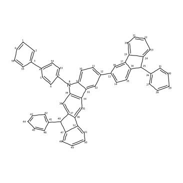 c1ccc(-c2ccc(-n3c4ccc(-c5ccc6c(c5)-c5ccccc5C6c5ccccc5)cc4c4cc5c(cc43)C(c3ccccc3)c3ccccc3-5)cc2)cc1